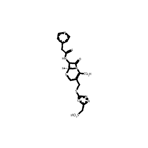 O=C(O)C1=C(CSc2nnc(CS(=O)(=O)O)o2)CS[C@H]2C(NC(=S)Cc3ccncc3)C(=O)N12